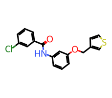 O=C(Nc1cccc(OCc2ccsc2)c1)c1cccc(Cl)c1